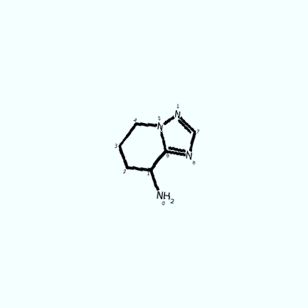 NC1CCCn2ncnc21